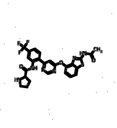 CC(=O)Nc1nc2c(Oc3cc(-c4ccc(C(F)(F)F)cc4NC(=O)C4CCCN4)ncn3)cccc2s1